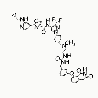 CN(CCNC(=O)NCc1cccc(Oc2cccc3c2C(=O)NC(=O)C3)c1)CC1CCC(n2cc(NC(=O)c3coc(-c4ccnc(NCC5CC5)c4)n3)c(C(F)F)n2)CC1